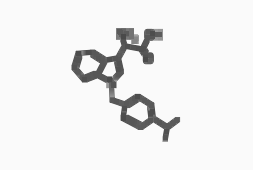 CC(C)c1ccc(Cn2cc(C(N)C(=O)O)c3ccccc32)cc1